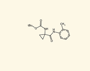 Cc1ccccc1NC(=O)C1(NC(=O)OC(C)(C)C)CC1